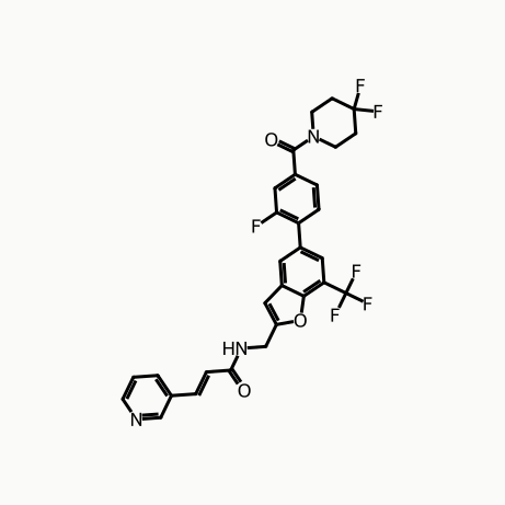 O=C(C=Cc1cccnc1)NCc1cc2cc(-c3ccc(C(=O)N4CCC(F)(F)CC4)cc3F)cc(C(F)(F)F)c2o1